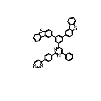 c1ccc(-c2cc(-c3cc(-c4ccc5sc6ccccc6c5c4)cc(-c4ccc5sc6ccccc6c5c4)c3)nc(-c3ccc(-c4ccncn4)cc3)n2)cc1